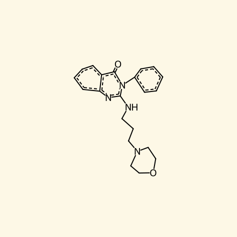 O=c1c2ccccc2nc(NCCCN2CCOCC2)n1-c1ccccc1